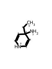 CCC1(N)C=CNC=C1